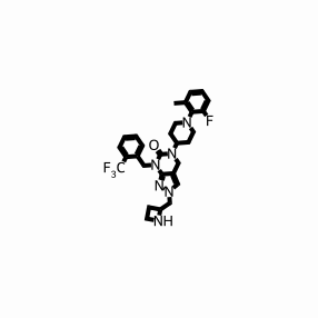 Cc1cccc(F)c1N1CCC(N2Cc3cn(CC4CCN4)nc3N(Cc3ccccc3C(F)(F)F)C2=O)CC1